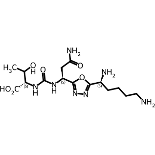 CC(O)[C@H](NC(=O)N[C@@H](CC(N)=O)c1nnc([C@@H](N)CCCCN)o1)C(=O)O